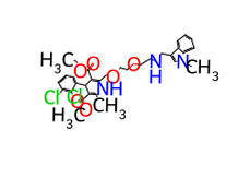 CCOC(=O)C1=C(COCCOCCNCc2cn(C)c3ccccc23)NC(C)=C(C(=O)OC)C1c1cccc(Cl)c1Cl